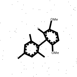 COc1ccc(OC)c(-c2c(C)cc(C)cc2C)c1I